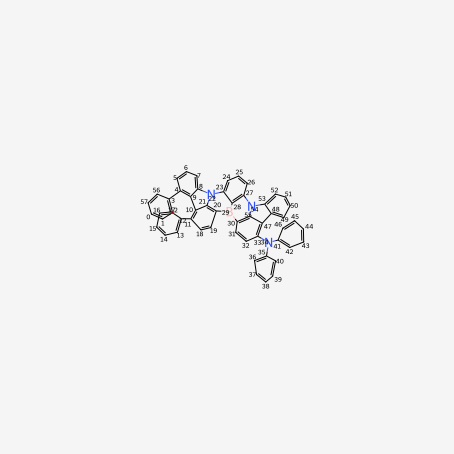 c1ccc(-c2cccc3c2c2c(-c4ccccc4)ccc4c2n3-c2cccc3c2B4c2ccc(N(c4ccccc4)c4ccccc4)c4c5ccccc5n-3c24)cc1